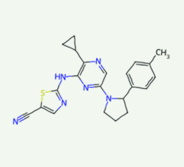 Cc1ccc(C2CCCN2c2cnc(C3CC3)c(Nc3ncc(C#N)s3)n2)cc1